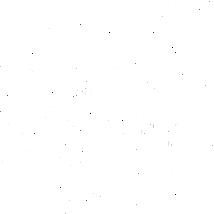 CCCCC(C#N)N=NS(=O)(=O)c1ccc(C(=O)Nc2ccc(C#N)cc2C(=O)O)cc1